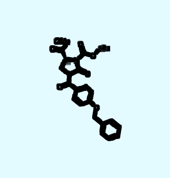 COC(=O)[C@@H]1CC(C(=O)c2ccc(OCc3ccccc3)cc2)C(=O)N1C(=O)OC(C)(C)C